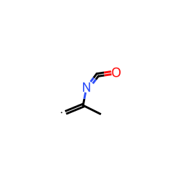 [CH]=C(C)N=C=O